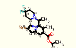 C=C(c1c(C)c(C(=O)OC(C)C)cc2cc(Br)cn12)N1CCC(F)(F)CC1